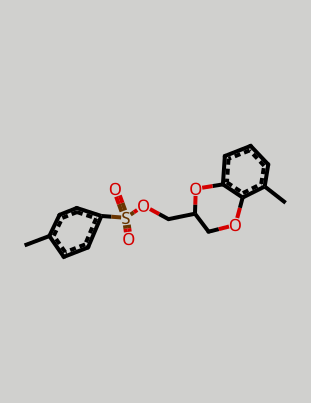 Cc1ccc(S(=O)(=O)OCC2COc3c(C)cccc3O2)cc1